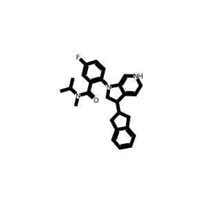 CC(C)N(C)C(=O)c1cc(F)ccc1N1CC(C2Cc3ccccc3C2)C2=CCNC=C21